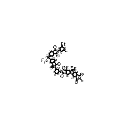 CCc1cc(C)cc(N2C(=O)c3ccc([C@@](F)(c4ccc5c(c4)C(=O)N(c4cccc(N6C(=O)c7ccc([C@@](F)(c8ccc9c(c8)C(=O)N(C)C9=O)C(F)(F)F)cc7C6=O)c4)C5=O)C(F)(F)F)cc3C2=O)c1